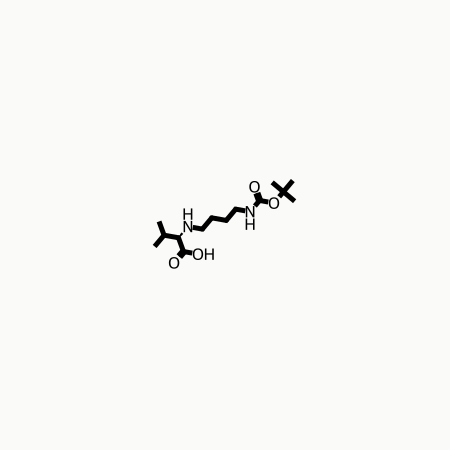 CC(C)[C@H](NCCCCNC(=O)OC(C)(C)C)C(=O)O